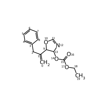 C=C(Cc1ccccc1)C1OC=NC1OC(=O)OCC